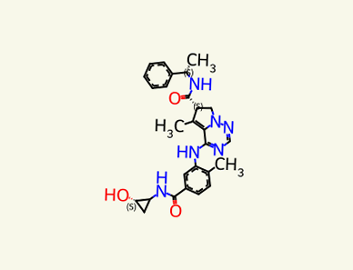 CC1=C2C(Nc3cc(C(=O)NC4C[C@@H]4O)ccc3C)=NC=NN2C[C@H]1C(=O)N[C@@H](C)c1ccccc1